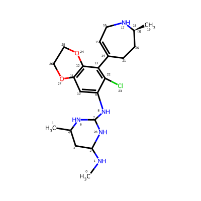 CNC1CC(C)NC(Nc2cc3c(c(C4=CCN[C@@H](C)CC4)c2Cl)OCCO3)N1